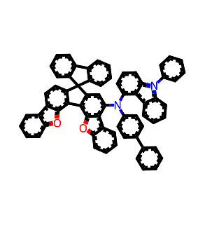 c1ccc(-c2ccc(N(c3cc4c(c5oc6ccccc6c35)-c3c(ccc5c3oc3ccccc35)C43c4ccccc4-c4ccccc43)c3cccc4c3c3ccccc3n4-c3ccccc3)cc2)cc1